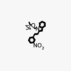 CC(OCn1c(/C=C/c2cccc([N+](=O)[O-])c2)cc2ccccc21)[Si](C)(C)C